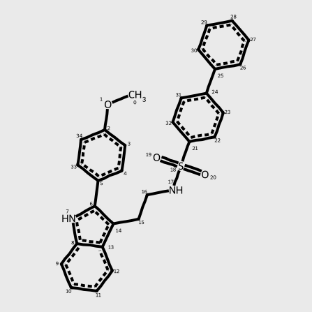 COc1ccc(-c2[nH]c3ccccc3c2CCNS(=O)(=O)c2ccc(-c3ccccc3)cc2)cc1